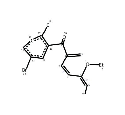 C=C(/C=C\C(=C/C)OCC)C(=O)c1cc(Br)ccc1Cl